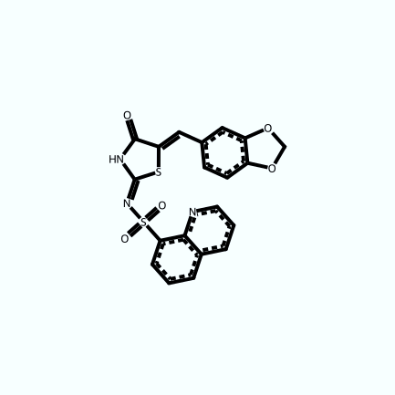 O=C1NC(=NS(=O)(=O)c2cccc3cccnc23)SC1=Cc1ccc2c(c1)OCO2